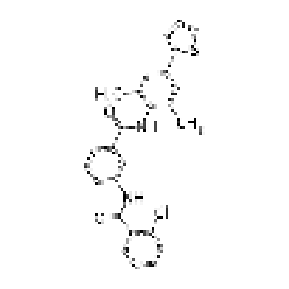 Cc1cc(-c2cccs2)cc(C)c1NC(=O)c1cccc(NC(=O)c2ccccc2Cl)c1